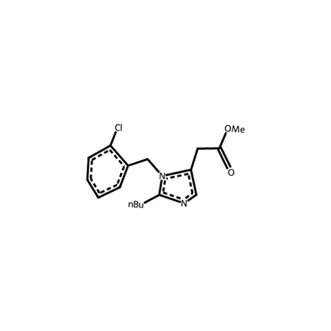 CCCCc1ncc(CC(=O)OC)n1Cc1ccccc1Cl